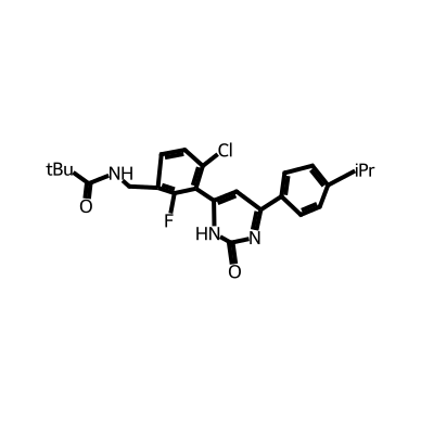 CC(C)c1ccc(-c2cc(-c3c(Cl)ccc(CNC(=O)C(C)(C)C)c3F)[nH]c(=O)n2)cc1